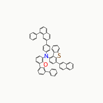 c1ccc(-c2cccc3ccc(-c4ccc(N(c5cccc6c5oc5c(-c7ccccc7)cccc56)c5ccc(-c6ccc7ccccc7c6)c6sc7ccccc7c56)cc4)cc23)cc1